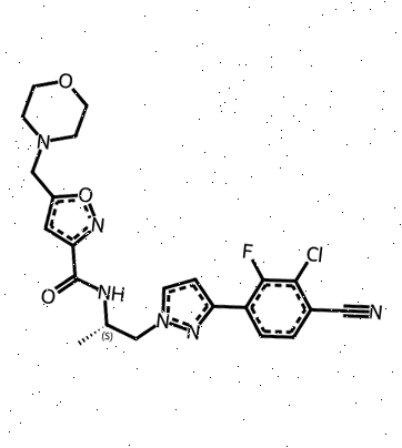 C[C@@H](Cn1ccc(-c2ccc(C#N)c(Cl)c2F)n1)NC(=O)c1cc(CN2CCOCC2)on1